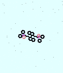 O=P(CCCc1ccc2ccccc2c1-c1c(CCCP(=O)(c2ccccc2)c2ccccc2)ccc2ccccc12)(c1ccccc1)c1ccccc1